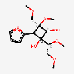 COC[C@@H](OC)[C@]1(O)C(c2ccco2)[C@@](COC)(OC)[C@H]1O